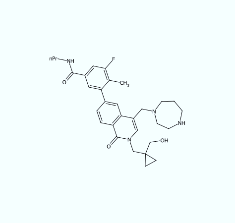 CCCNC(=O)c1cc(F)c(C)c(-c2ccc3c(=O)n(CC4(CO)CC4)cc(CN4CCCNCC4)c3c2)c1